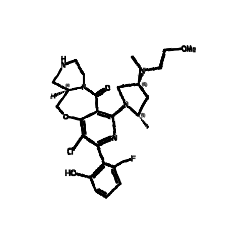 COCCN(C)[C@H]1C[C@H](C)N(c2nc(-c3c(O)cccc3F)c(Cl)c3c2C(=O)N2CCNC[C@@H]2CO3)C1